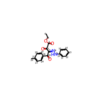 CCOC(=O)C(=O)/C(=N/Nc1ccccc1)C(=O)c1ccc(C)cc1